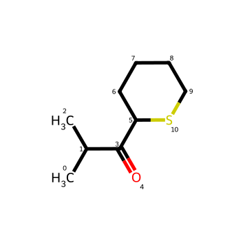 CC(C)C(=O)C1CCCCS1